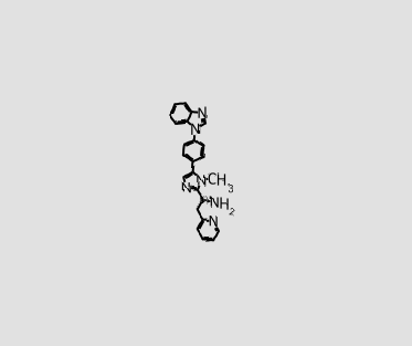 Cn1c(-c2ccc(-n3cnc4ccccc43)cc2)cnc1[C@@H](N)Cc1ccccn1